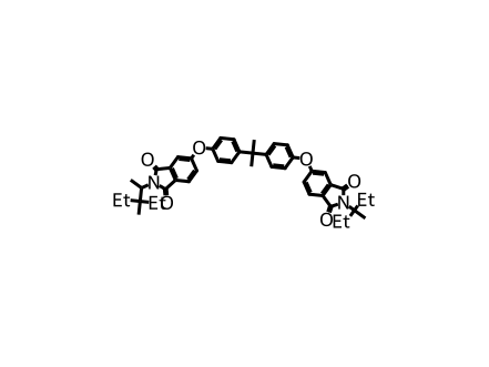 CCC(C)(CC)C(C)N1C(=O)c2ccc(Oc3ccc(C(C)(C)c4ccc(Oc5ccc6c(c5)C(=O)N(C(C)(CC)CC)C6=O)cc4)cc3)cc2C1=O